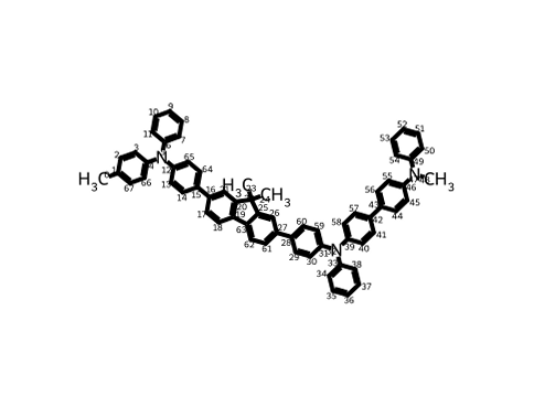 Cc1ccc(N(c2ccccc2)c2ccc(-c3ccc4c(c3)C(C)(C)c3cc(-c5ccc(N(c6ccccc6)c6ccc(-c7ccc(N(C)c8ccccc8)cc7)cc6)cc5)ccc3-4)cc2)cc1